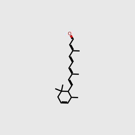 CC(/C=C/C=C(C)/C=C/C1C(C)C=CCC1(C)C)=C\C=O